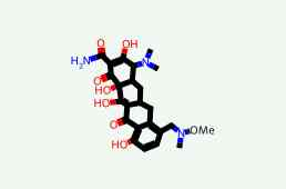 CON(C)Cc1ccc(O)c2c1CC1CC3C(N(C)C)C(O)=C(C(N)=O)C(=O)C3(O)C(O)=C1C2=O